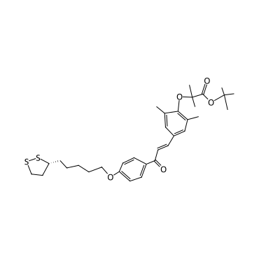 Cc1cc(C=CC(=O)c2ccc(OCCCCC[C@@H]3CCSS3)cc2)cc(C)c1OC(C)(C)C(=O)OC(C)(C)C